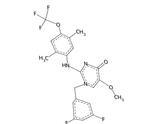 COc1cn(Cc2cc(F)cc(F)c2)c(Nc2cc(C)c(OC(F)(F)F)cc2C)nc1=O